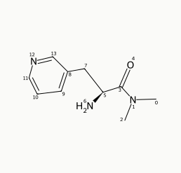 CN(C)C(=O)[C@@H](N)Cc1cccnc1